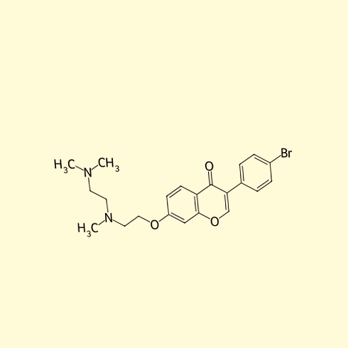 CN(C)CCN(C)CCOc1ccc2c(=O)c(-c3ccc(Br)cc3)coc2c1